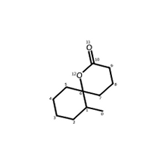 CC1CCCCC12CCCC(=O)O2